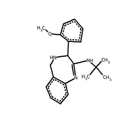 COc1ccccc1C1NCc2ccccc2N=C1NC(C)(C)C